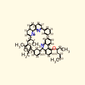 C=C/C(=C\C(/C=C(\CC)C1=CCC2C=Cc3ccc(-c4ccccc4)nc3C2=N1)=C(C)C)C1=CC=CC(c2nc3ccccc3c3c(OC(CC)C/C=C\C)cccc23)C1